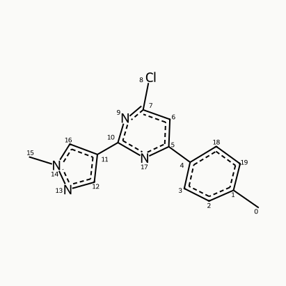 Cc1ccc(-c2cc(Cl)nc(-c3cnn(C)c3)n2)cc1